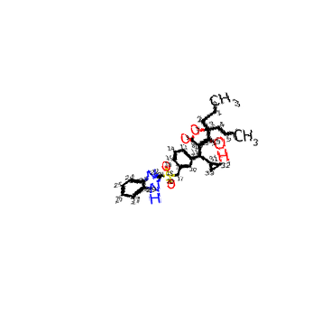 CCCC1(CCC)OC(=O)C(C(c2cccc(CS(=O)(=O)c3nc4ccccc4[nH]3)c2)C2CC2)=C1O